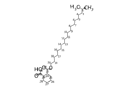 CC(C)CCCCCCCCCCCCCCCCCCOC(=O)C1CCCCC1C(=O)O